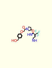 N=C/C=C(\C(=N)O[C@@H]1CCN(C(=O)COc2ccc(CO)cc2)C1)C(F)(F)F